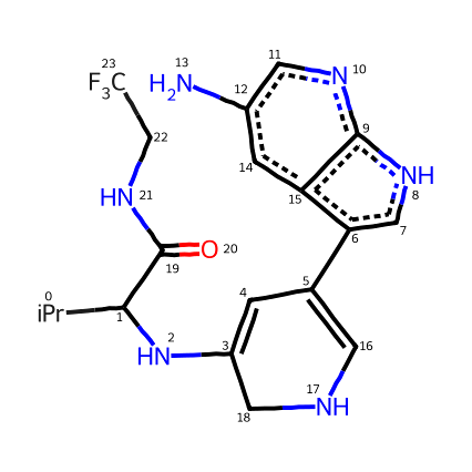 CC(C)C(NC1=CC(c2c[nH]c3ncc(N)cc23)=CNC1)C(=O)NCC(F)(F)F